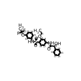 CCOc1cc(NC(=O)[C@@H](O)c2ccccc2)ccc1S(=O)(=O)Nc1cccc(OC(C)(F)F)c1